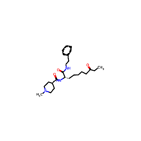 CCC(=O)CCCCC[C@H](NC(=O)C1CCN(C)CC1)C(=O)NCCc1ccccc1